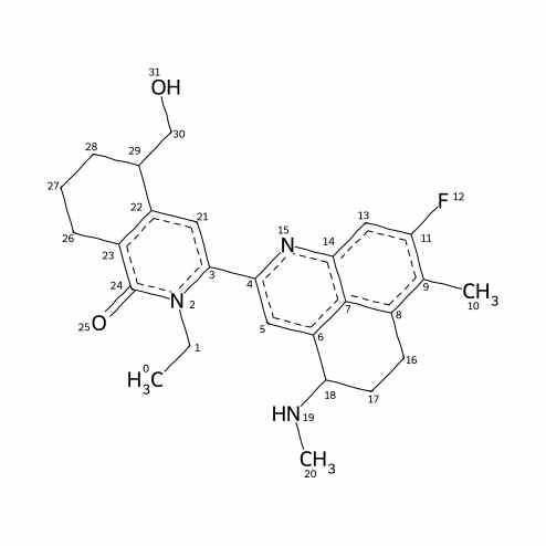 CCn1c(-c2cc3c4c(c(C)c(F)cc4n2)CCC3NC)cc2c(c1=O)CCCC2CO